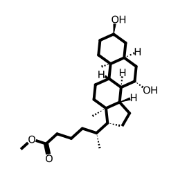 COC(=O)CCC[C@@H](C)[C@H]1CC[C@H]2[C@@H]3[C@@H](O)C[C@@H]4C[C@H](O)CC[C@]4(C)[C@H]3CC[C@]12C